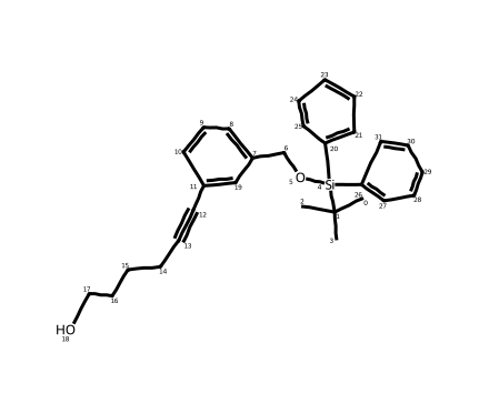 CC(C)(C)[Si](OCc1cccc(C#CCCCCO)c1)(c1ccccc1)c1ccccc1